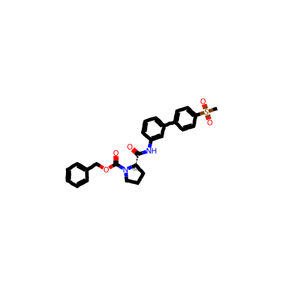 CS(=O)(=O)c1ccc(-c2cccc(NC(=O)[C@@H]3CCCN3C(=O)OCc3ccccc3)c2)cc1